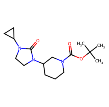 CC(C)(C)OC(=O)N1CCCC(N2CCN(C3CC3)C2=O)C1